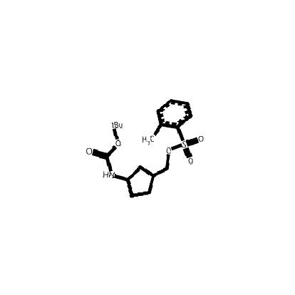 Cc1ccccc1S(=O)(=O)OCC1CCC(NC(=O)OC(C)(C)C)C1